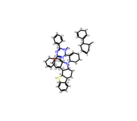 CC1CC=C([C@H]2C=C(C3N=C(C4CC=CCC4)N=C(c4ccccc4)N3C)C(N3C4=CCCC=C4C4C5Sc6ccccc6C5CCC43)CC2)CC1C1=CCCC=C1